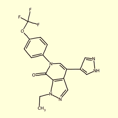 CCn1ncc2c(-c3cn[nH]c3)cn(-c3ccc(OC(F)(F)F)cc3)c(=O)c21